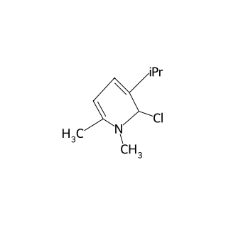 CC1=CC=C(C(C)C)C(Cl)N1C